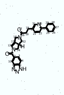 O=C(c1ccc2[nH]nnc2c1)N1C=C2CN(C(=O)CCc3ccc(-c4ccccc4)nc3)C[C@@H]2C1